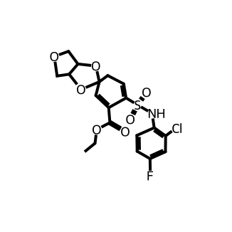 CCOC(=O)C1=CC2(CC=C1S(=O)(=O)Nc1ccc(F)cc1Cl)OC1COCC1O2